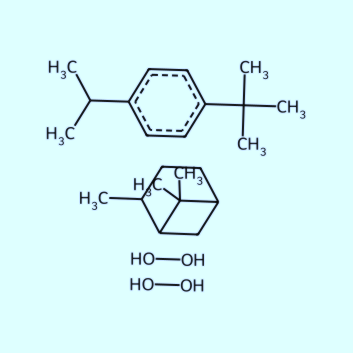 CC(C)c1ccc(C(C)(C)C)cc1.CC1CCC2CC1C2(C)C.OO.OO